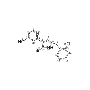 N#Cc1ccnc(-c2nc(Cc3ccccc3Cl)[nH]c2Br)c1